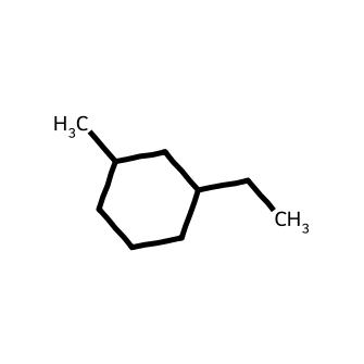 CCC1CCCC(C)C1